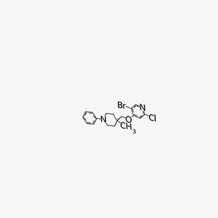 CC1(COc2cc(Cl)ncc2Br)CCN(c2ccccc2)CC1